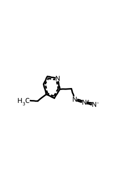 CCc1ccnc(CN=[N+]=[N-])c1